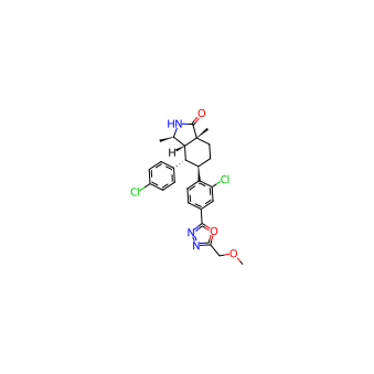 COCc1nnc(-c2ccc([C@@H]3CC[C@@]4(C)C(=O)N[C@H](C)[C@H]4[C@H]3c3ccc(Cl)cc3)c(Cl)c2)o1